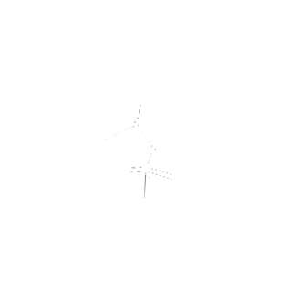 CC(C)N(C)NS(C)(=O)=O